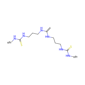 C=C(NCCCNC(=S)NCCC)NCCCNC(=S)NCCC